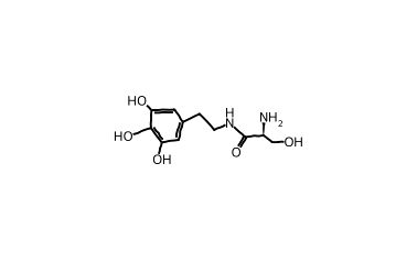 N[C@@H](CO)C(=O)NCCc1cc(O)c(O)c(O)c1